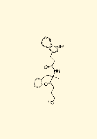 CC(Cc1ccccc1)(NC(=O)[CH]Cc1c[nH]c2ccccc12)C(=O)CCCO